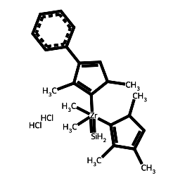 CC1=CC(C)[C]([Zr]([CH3])([CH3])(=[SiH2])[C]2=C(C)C(c3ccccc3)=CC2C)=C1C.Cl.Cl